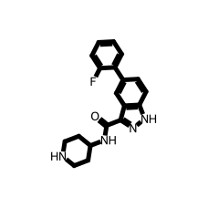 O=C(NC1CCNCC1)c1n[nH]c2ccc(-c3ccccc3F)cc12